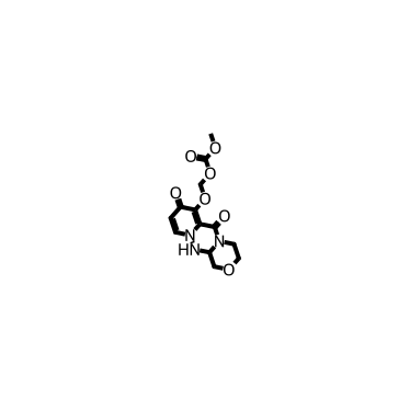 COC(=O)OCOc1c2n(ccc1=O)NC1COCCN1C2=O